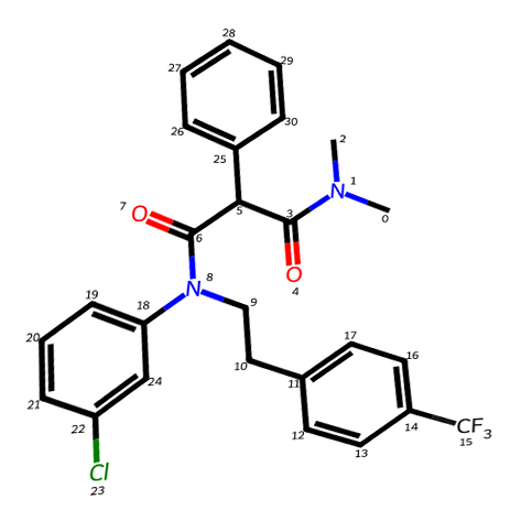 CN(C)C(=O)C(C(=O)N(CCc1ccc(C(F)(F)F)cc1)c1cccc(Cl)c1)c1ccccc1